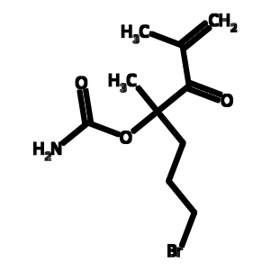 C=C(C)C(=O)C(C)(CCCBr)OC(N)=O